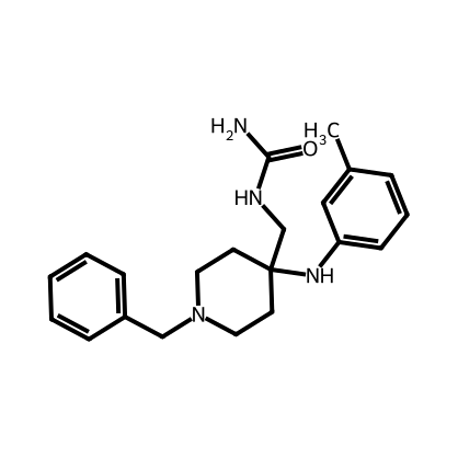 Cc1cccc(NC2(CNC(N)=O)CCN(Cc3ccccc3)CC2)c1